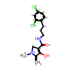 C=C1C(O)=C(C(=O)NCCCc2ccc(Cl)cc2Cl)CN1C